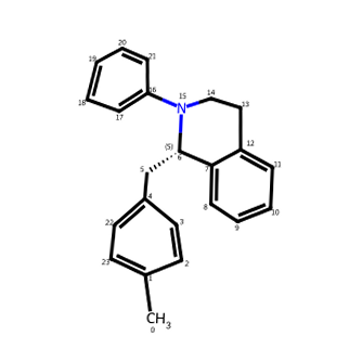 Cc1ccc(C[C@H]2c3ccccc3CCN2c2ccccc2)cc1